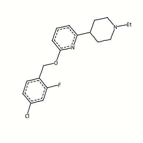 CCN1CCC(c2cccc(OCc3ccc(Cl)cc3F)n2)CC1